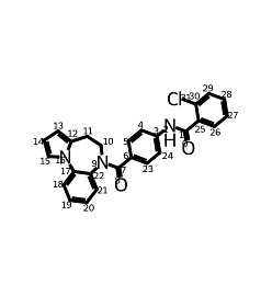 O=C(Nc1ccc(C(=O)N2CCc3cccn3-c3ccccc32)cc1)c1ccccc1Cl